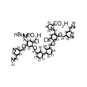 CCCCN(Cc1cc(Cl)c(OCc2cccc(-c3cccc(COc4cc(OCc5cncc(/C=N/C)c5)c(CN5CCC[C@H]5C(=O)O)cc4Cl)c3C)c2C)cc1OCc1cncc(/C=N/C)c1)C(=O)O